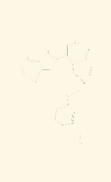 NCc1cccc(NCc2ccc3cncc(-c4cc5ccccc5o4)c3c2)c1